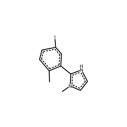 Cc1ccc(I)cc1-c1[nH]cc[n+]1C